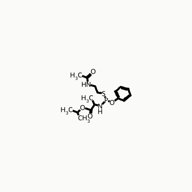 CC(=O)NCCSP(NC(C)C(=O)OC(C)C)Oc1ccccc1